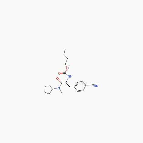 CCCCOC(=O)N[C@@H](Cc1ccc(C#N)cc1)C(=O)N(C)C1CCCC1